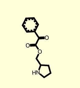 O=C(OCC1CCCN1)C(=O)c1ccccc1